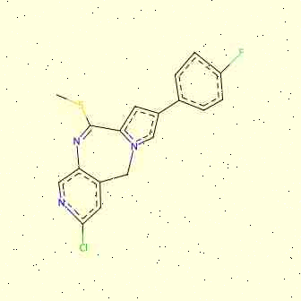 CSC1=Nc2cnc(Cl)cc2Cn2cc(-c3ccc(F)cc3)cc21